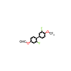 O=COc1ccc(-c2ccc(OC(F)(F)F)c(F)c2)c(F)c1